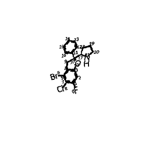 Fc1cc2c(c(Br)c1Cl)C[C@](c1ccccc1)([C@H]1CCCN1)O2